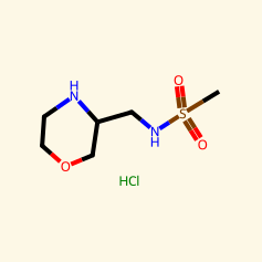 CS(=O)(=O)NCC1COCCN1.Cl